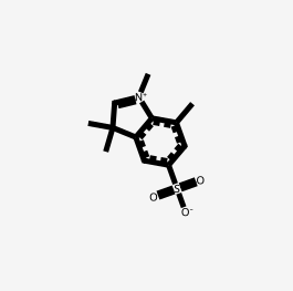 Cc1cc(S(=O)(=O)[O-])cc2c1[N+](C)=CC2(C)C